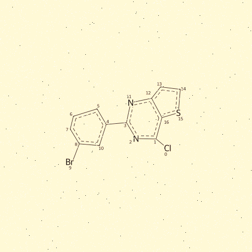 Clc1nc(-c2cccc(Br)c2)nc2ccsc12